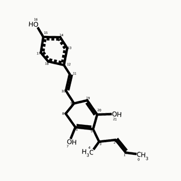 CC=CC(C)C1=C(O)CC(C=Cc2ccc(O)cc2)C=C1O